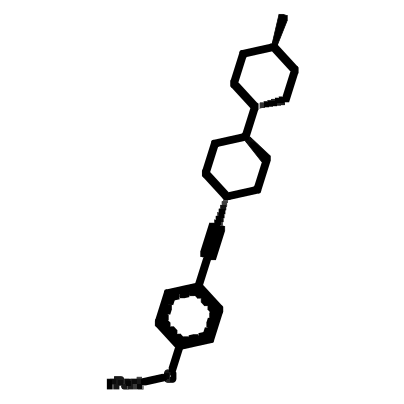 CCCCCOc1ccc(C#C[C@H]2CC[C@H]([C@H]3CC[C@H](C)CC3)CC2)cc1